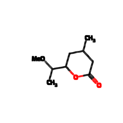 COC(C)C1CC(C)CC(=O)O1